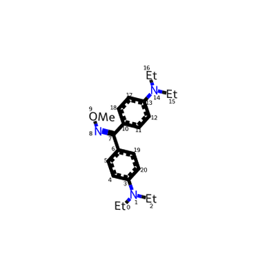 CCN(CC)c1ccc(C(=NOC)c2ccc(N(CC)CC)cc2)cc1